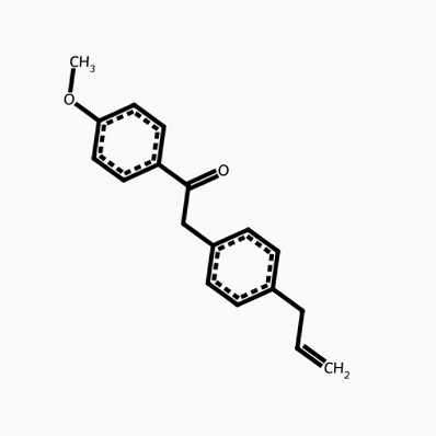 C=CCc1ccc(CC(=O)c2ccc(OC)cc2)cc1